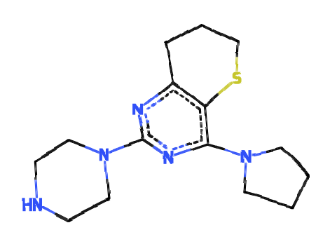 C1CSc2c(nc(N3CCNCC3)nc2N2CCCC2)C1